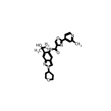 Cc1cc(-c2nc(C(=O)Nc3cc4cn(C5CCOCC5)nc4cc3C(C)(C)O)co2)ccn1